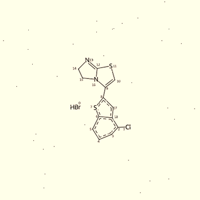 Br.Clc1cccc2sc(C3=CSC4=NCCN34)cc12